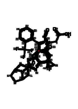 O=CN(CC(=O)O)c1cc(F)c2nc(N3C4CCC3CC(OCc3c(-c5ccccc5C(F)(F)F)noc3C3CC3)C4)sc2c1